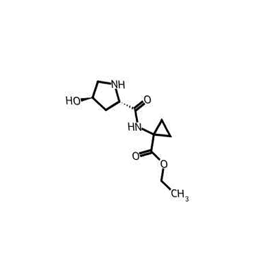 CCOC(=O)C1(NC(=O)[C@@H]2C[C@@H](O)CN2)CC1